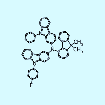 CC1(C)c2ccccc2-c2c(N(c3ccc4c(c3)c3ccccc3n4-c3ccc(F)cc3)c3ccc4c5ccccc5n(-c5ccccc5)c4c3)cccc21